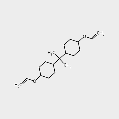 C=COC1CCC(C(C)(C)C2CCC(OC=C)CC2)CC1